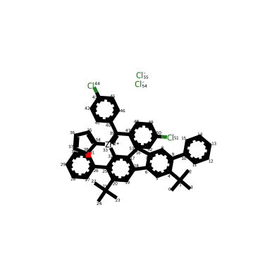 CC(C)(C)c1cc2c(cc1-c1ccccc1)Cc1c-2cc(C(C)(C)C)c(-c2ccccc2)[c]1[Zr+2]([C]1=CC=CC1)=[C](c1ccc(Cl)cc1)c1ccc(Cl)cc1.[Cl-].[Cl-]